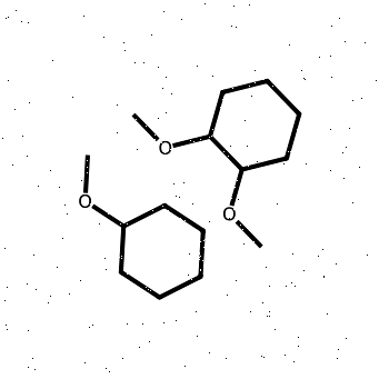 COC1CCCCC1.COC1CCCCC1OC